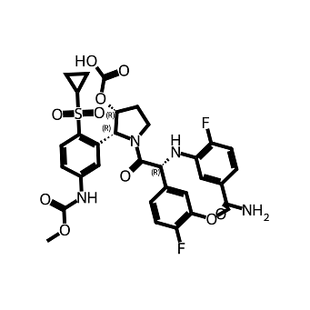 COC(=O)Nc1ccc(S(=O)(=O)C2CC2)c([C@@H]2[C@H](OC(=O)O)CCN2C(=O)[C@H](Nc2cc(C(N)=O)ccc2F)c2ccc(F)c(OC)c2)c1